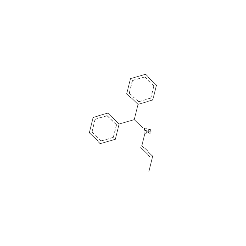 CC=C[Se]C(c1ccccc1)c1ccccc1